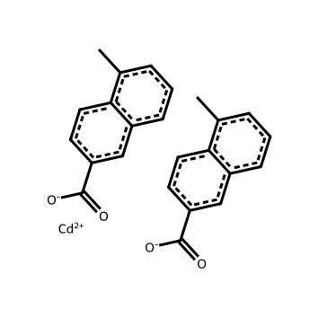 Cc1cccc2cc(C(=O)[O-])ccc12.Cc1cccc2cc(C(=O)[O-])ccc12.[Cd+2]